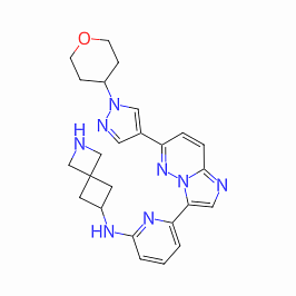 c1cc(NC2CC3(CNC3)C2)nc(-c2cnc3ccc(-c4cnn(C5CCOCC5)c4)nn23)c1